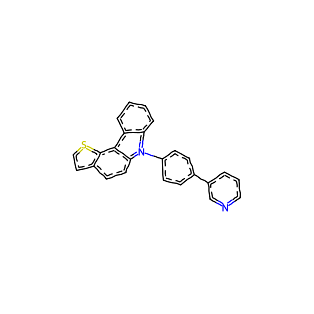 c1cncc(-c2ccc(-n3c4ccccc4c4c5sccc5ccc43)cc2)c1